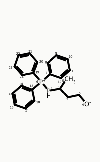 CC(CC[O-])P[P+](c1ccccc1)(c1ccccc1)c1ccccc1